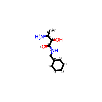 CCCC(N)C(O)C(=O)NCC1CCCCC1